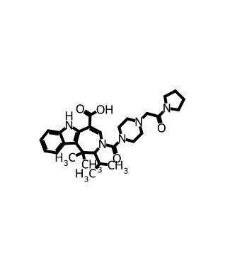 CC(C)C1N(C(=O)N2CCN(CC(=O)N3CCCC3)CC2)C=C(C(=O)O)c2[nH]c3ccccc3c2C1(C)C